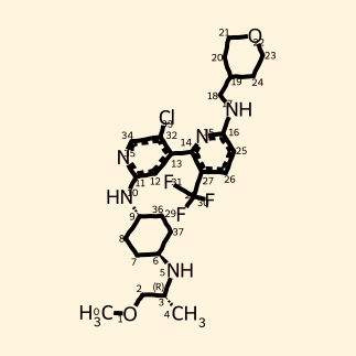 COC[C@@H](C)N[C@H]1CC[C@H](Nc2cc(-c3nc(NCC4CCOCC4)ccc3C(F)(F)F)c(Cl)cn2)CC1